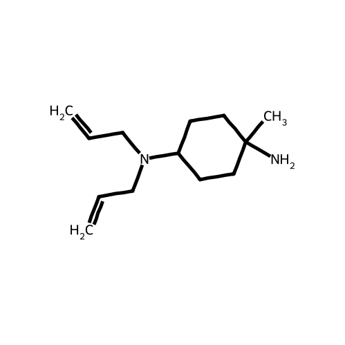 C=CCN(CC=C)C1CCC(C)(N)CC1